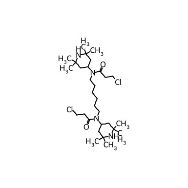 CC1(C)CC(N(CCCCCCN(C(=O)CCCl)C2CC(C)(C)NC(C)(C)C2)C(=O)CCCl)CC(C)(C)N1